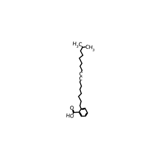 CC(C)CCCCCCCCCCCCCCCc1ccccc1C(=O)O